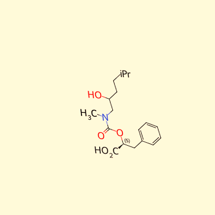 CC(C)CCC(O)CN(C)C(=O)O[C@@H](Cc1ccccc1)C(=O)O